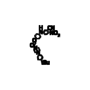 CC(C)(C)c1ccc(N2CCN(C(=O)COC3CCC(Nc4ccc([N+](=O)[O-])c(C#N)c4)CC3)CC2)cc1